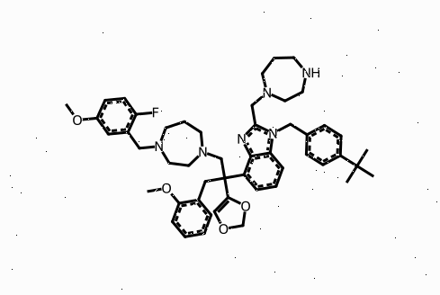 COc1ccc(F)c(CN2CCCN(CC(Cc3ccccc3OC)(C3=COCO3)c3cccc4c3nc(CN3CCCNCC3)n4Cc3ccc(C(C)(C)C)cc3)CC2)c1